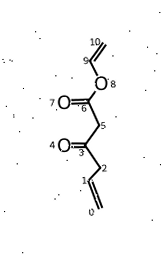 C=CCC(=O)CC(=O)OC=C